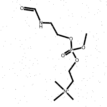 COP(=O)(OCCNC=O)OCC[N+](C)(C)C